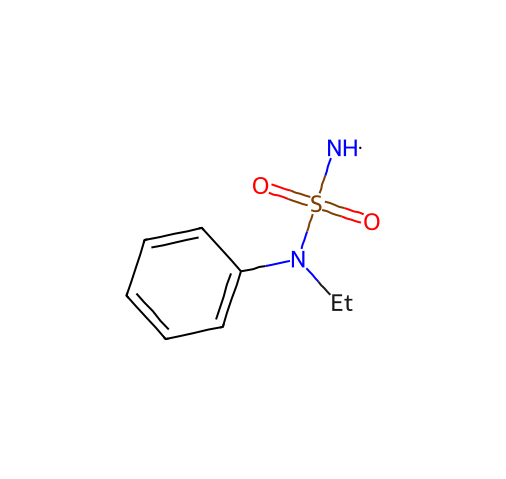 CCN(c1ccccc1)S([NH])(=O)=O